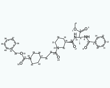 COC(=O)[C@@](C)(NC(=O)c1ccccc1)NC(=O)[C@@H]1CCCN(C(=O)CCC2CCN(C(=O)OCc3ccccc3)CC2)C1